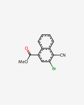 COC(=O)c1cc(Br)c(C#N)c2ccccc12